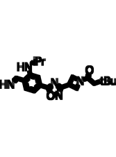 CC(C)Nc1cc(-c2nc(C3CN(C(=O)CC(C)(C)C)C3)no2)ccc1C=N